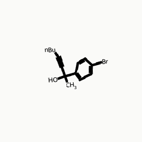 CCCCC#CC(C)(O)c1ccc(Br)cc1